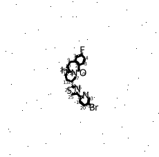 O=C1c2ccc(F)cc2CC[C@@H]2CC[C@@H](c3nc(-c4ccc(Br)cn4)cs3)CN12